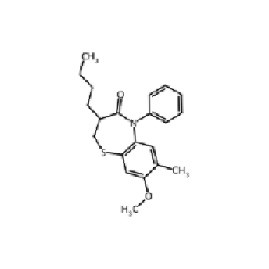 CCCCC1CSc2cc(OC)c(C)cc2N(c2ccccc2)C1=O